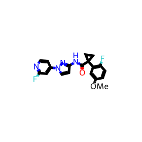 COc1ccc(F)c(C2(C(=O)Nc3ccn(-c4ccnc(F)c4)n3)CC2)c1